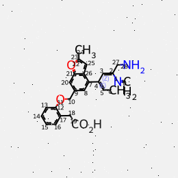 C=N/C(=C\C(=C/C)c1cc(COc2ccccc2CC(=O)O)cc2oc(C)cc12)CN